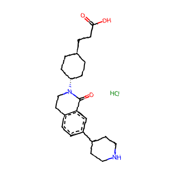 Cl.O=C(O)CC[C@H]1CC[C@H](N2CCc3ccc(C4CCNCC4)cc3C2=O)CC1